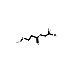 CCCCC(CC)COC(=O)CCOCCC